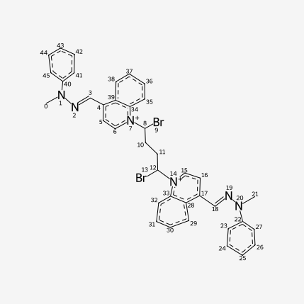 CN(N=Cc1cc[n+](C(Br)CCC(Br)[n+]2ccc(C=NN(C)c3ccccc3)c3ccccc32)c2ccccc12)c1ccccc1